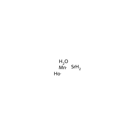 O.[Ho].[Mn].[SrH2]